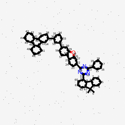 CC1(C)c2ccccc2-c2c(-c3nc(-c4ccccc4)nc(-c4ccc5c(c4)oc4cc(-c6cccc(-c7ccc8c9ccccc9c9ccccc9c8c7)c6)ccc45)n3)cccc21